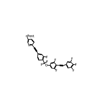 CCCCCc1ccc(C#Cc2ccc(C(F)(F)Oc3cc(F)c(C#Cc4cc(F)c(F)c(F)c4)c(F)c3)c(F)c2)nc1